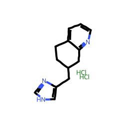 Cl.Cl.c1cnc2c(c1)CCC(Cc1c[nH]cn1)C2